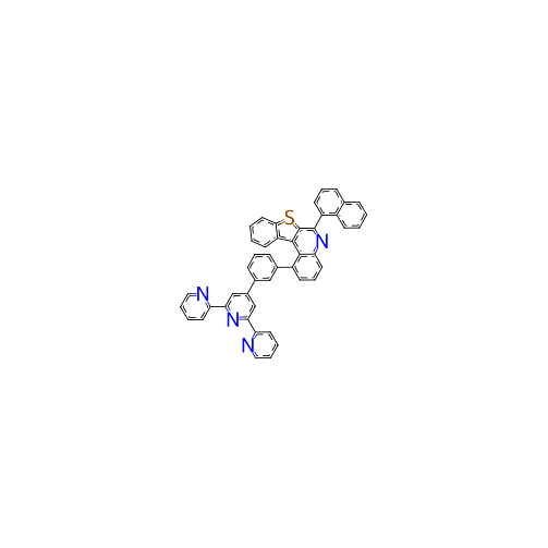 c1ccc(-c2cc(-c3cccc(-c4cccc5nc(-c6cccc7ccccc67)c6sc7ccccc7c6c45)c3)cc(-c3ccccn3)n2)nc1